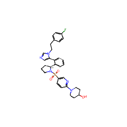 O=S(=O)(c1ccc(N2CCC(O)CC2)nc1)N1CCC[C@H]1c1ccccc1-c1cncn1CCc1ccc(F)cc1